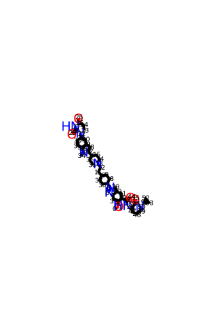 COc1cc2nn(C3CCC(CCN4CCC(c5cc6cc(N7CCC(=O)NC7=O)ccc6n5C)CC4)CC3)cc2cc1C(=O)Nc1cccn(C2CC2)c1=O